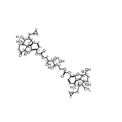 Cc1ccc(OC(=O)OC[C@@H](O)[C@@H](O)[C@H](O)[C@@H](O)COC(=O)Oc2ccc3c4c2O[C@H]2C(=O)CC[C@@]5(O)C(C)N(CC6CC6)C3C[C@]425)c2c1[C@]13CCN(CC4CC4)C(C)[C@]1(O)CCC(O)[C@@H]3O2